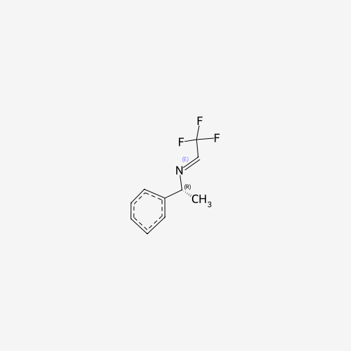 C[C@@H](/N=C/C(F)(F)F)c1ccccc1